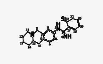 N=C(Nc1ccc2c(c1)CN1CCCCC1C2)C1=CC=CCC1=S